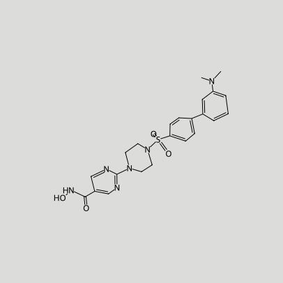 CN(C)c1cccc(-c2ccc(S(=O)(=O)N3CCN(c4ncc(C(=O)NO)cn4)CC3)cc2)c1